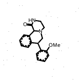 COc1ccccc1C1CN2CCNC(=O)C2c2ccccc21